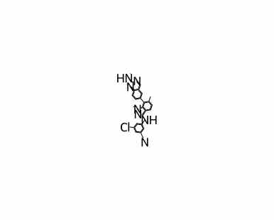 CNc1ncc2cc(-c3c(C)ccc4c(Nc5cc(Cl)cc(C#N)c5)nn(C)c34)ccc2n1